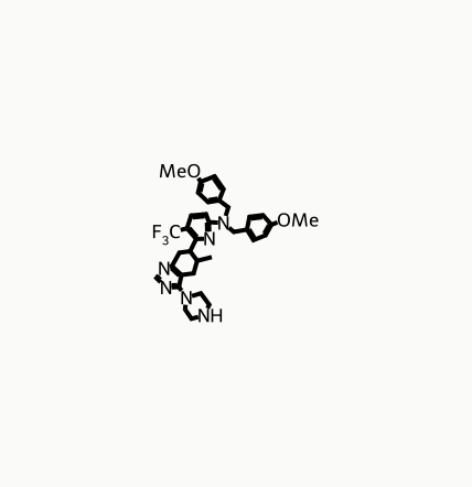 COc1ccc(CN(Cc2ccc(OC)cc2)c2ccc(C(F)(F)F)c(C3Cc4ncnc(N5CCNCC5)c4CC3C)n2)cc1